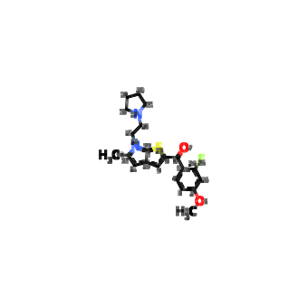 COc1ccc(C(=O)c2cc3cc(C)n(CCN4CCCC4)c3s2)c(F)c1